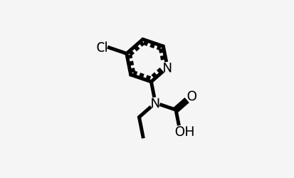 CCN(C(=O)O)c1cc(Cl)ccn1